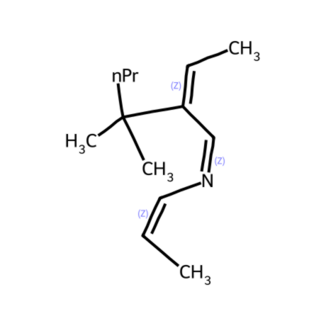 C\C=C/N=C\C(=C/C)C(C)(C)CCC